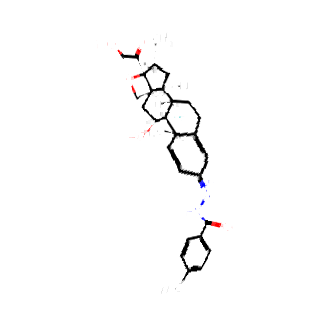 Cc1ccc(C(=O)N/N=C2\C=C[C@@]3(C)C(=C2)CC[C@H]2[C@@H]4C[C@@H](C)[C@@]5(C(=O)CO)OC[C@]45C[C@H](O)[C@@]23F)cc1